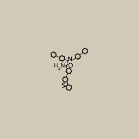 Nc1c(/C(=N\Cc2ccc(-c3ccccc3)cc2)c2ccc(-c3ccccc3)cc2)oc2ccc(-c3ccc4sc5ccccc5c4c3)cc12